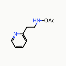 CC(=O)ONCCc1ccccn1